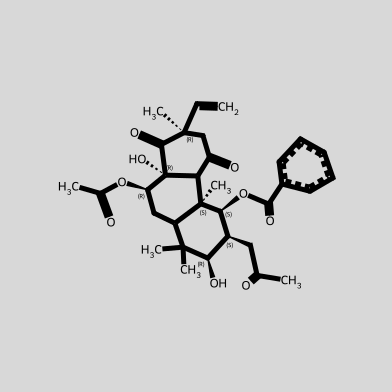 C=C[C@@]1(C)CC(=O)C2[C@]3(C)C(C[C@@H](OC(C)=O)[C@@]2(O)C1=O)C(C)(C)[C@H](O)[C@H](CC(C)=O)[C@@H]3OC(=O)c1ccccc1